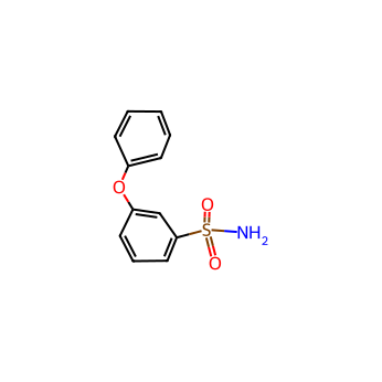 NS(=O)(=O)c1cccc(Oc2ccccc2)c1